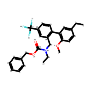 CCc1ccc(OC)c(-c2ccc(C(F)(F)F)cc2CN(CC)C(=O)OCc2ccccc2)c1